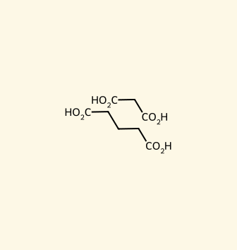 O=C(O)CC(=O)O.O=C(O)CCCC(=O)O